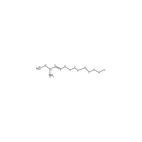 CCCCCCCCC/C=C/C(N)CO